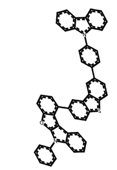 c1ccc(-n2c3ccccc3c3c4c(-c5ccc6sc7ccc(-c8ccc(-n9c%10ccccc%10c%10ccccc%109)cc8)cc7c6c5)cccc4oc32)cc1